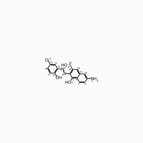 Nc1ccc2c(O)c(N=Nc3cc(Cl)ccc3O)c(S(=O)(=O)O)cc2c1